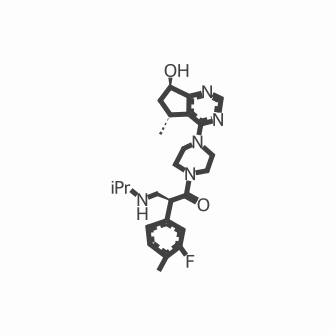 Cc1ccc([C@@H](CNC(C)C)C(=O)N2CCN(c3ncnc4c3[C@H](C)C[C@H]4O)CC2)cc1F